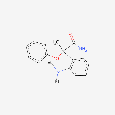 CCN(CC)c1ccccc1C(C)(Oc1ccccc1)C(N)=O